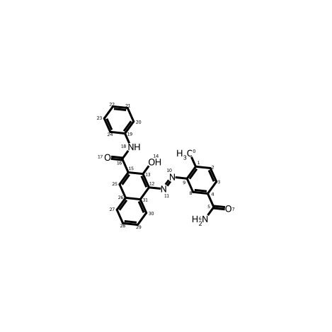 Cc1ccc(C(N)=O)cc1N=Nc1c(O)c(C(=O)Nc2ccccc2)cc2ccccc12